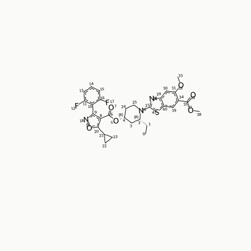 CC[C@@H]1C[C@H](OC(=O)c2c(-c3c(F)cccc3F)noc2C2CC2)CCN1c1nc2cc(OC)c(C(=O)OC)cc2s1